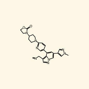 C=NCc1cnn2cc(-c3cnn(C)c3)cc(-c3ccc(N4CCC(N5CCOC5=O)CC4)nc3)c12